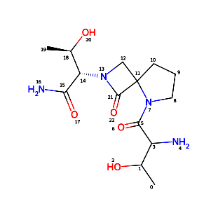 CC(O)C(N)C(=O)N1CCCC12CN([C@H](C(N)=O)[C@@H](C)O)C2=O